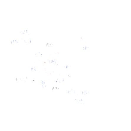 CCC(C)C(NC(=O)C(CCCNC(=N)N)NC(=O)[C@H](CC(=O)O)NC(=O)[C@@H](NC(=O)[C@H](CCCNC(=N)N)NC(=O)Cc1ccc(NC(=O)c2ccc3ccccc3c2)cc1)[C@@H](C)CC)C(N)=O